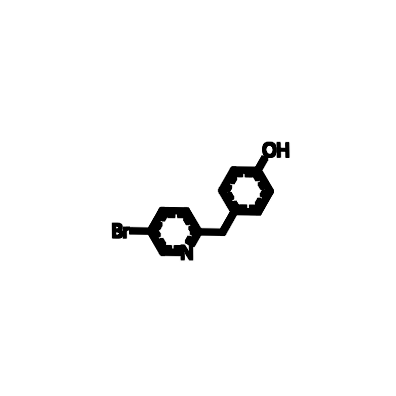 Oc1ccc(Cc2ccc(Br)cn2)cc1